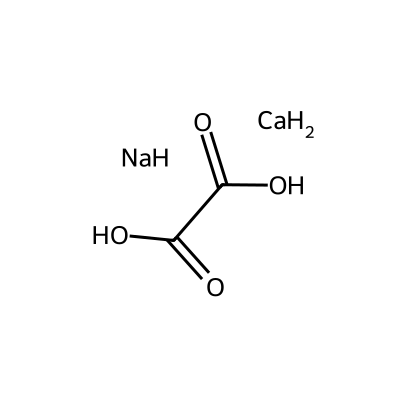 O=C(O)C(=O)O.[CaH2].[NaH]